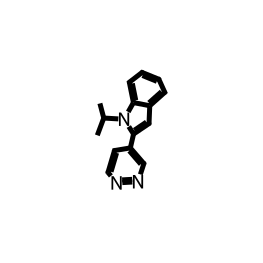 CC(C)n1c(-c2ccnnc2)cc2ccccc21